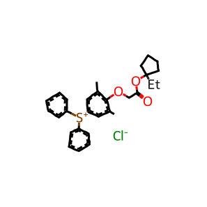 CCC1(OC(=O)COc2c(C)cc([S+](c3ccccc3)c3ccccc3)cc2C)CCCC1.[Cl-]